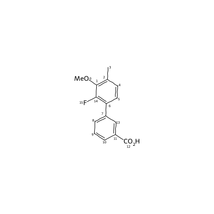 COc1c(C)ccc(-c2cccc(C(=O)O)c2)c1F